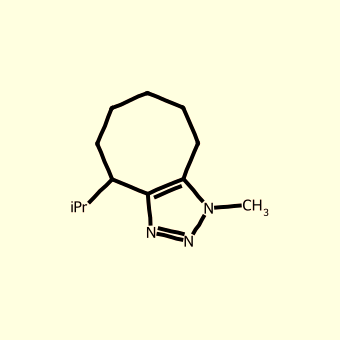 CC(C)C1CCCCCc2c1nnn2C